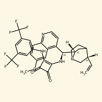 C=C[C@@H]1CN2CCC1C[C@H]2[C@@H](Nc1c(Nc2cc(C(F)(F)F)cc(C(F)(F)F)c2)c(=O)c1=O)c1ccnc2ccc(OC)cc12